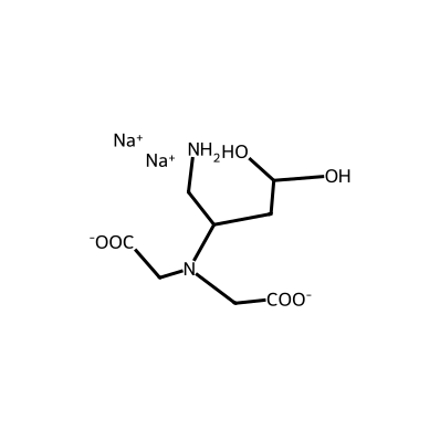 NCC(CC(O)O)N(CC(=O)[O-])CC(=O)[O-].[Na+].[Na+]